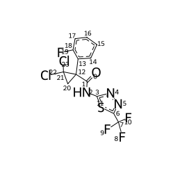 O=C(Nc1nnc(C(F)(F)F)s1)C1(c2ccccc2F)CC1(Cl)Cl